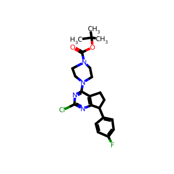 CC(C)(C)OC(=O)N1CCN(c2nc(Cl)nc3c2CCC3c2ccc(F)cc2)CC1